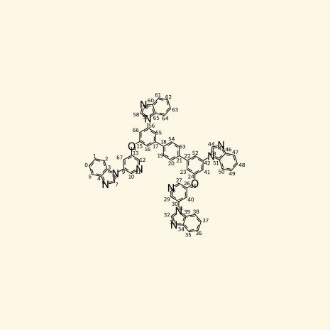 c1ccc2c(c1)ncn2-c1cncc(Oc2cc(-c3ccc(-c4cc(Oc5cncc(-n6cnc7ccccc76)c5)cc(-n5cnc6ccccc65)c4)cc3)cc(-n3cnc4ccccc43)c2)c1